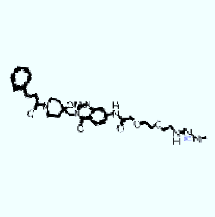 C/N=N/NCCOCCOCC(=O)Nc1ccc2c(=O)n(CC3(OC)CCN(C(=O)CCc4ccccc4)CC3)cnc2c1